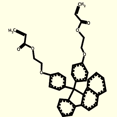 C=CC(=O)OCCOc1ccc(C2(c3ccc(OCCOC(=O)C=C)cc3)c3ccccc3-c3ccc4ccccc4c32)cc1